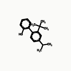 CC(C)c1ccc(-c2ccccc2O)c(C(C)(C)C)c1